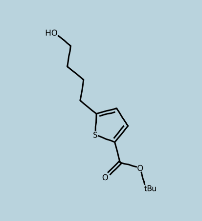 CC(C)(C)OC(=O)c1ccc(CCCCO)s1